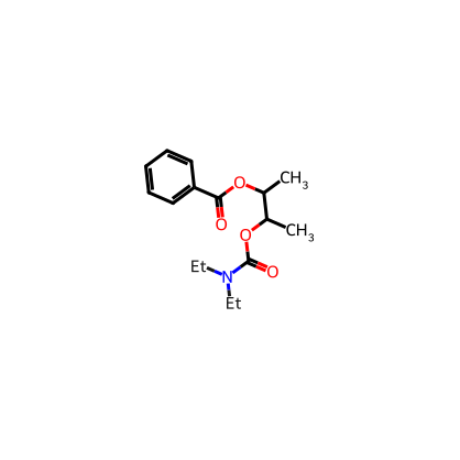 CCN(CC)C(=O)OC(C)C(C)OC(=O)c1ccccc1